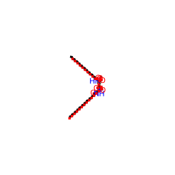 CCC=CCC=CCC=CCC=CCC=CCC=CCCC(=O)NCCN1C(=O)CC(SC[C@H](NC(=O)CCC=CCC=CCC=CCC=CCC=CCC=CCC)C(=O)OC)C1=O